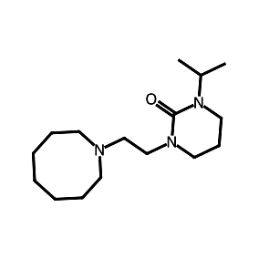 CC(C)N1CCCN(CCN2CCCCCCC2)C1=O